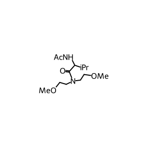 COCCN(CCOC)C(=O)C(NC(C)=O)C(C)C